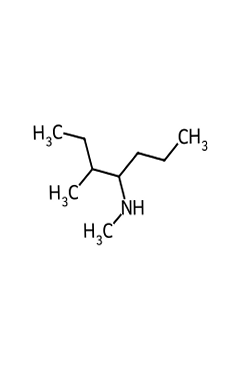 CCCC(NC)C(C)CC